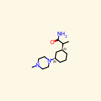 CC(C(N)=O)[C@H]1CCC[C@@H](N2CCN(C)CC2)C1